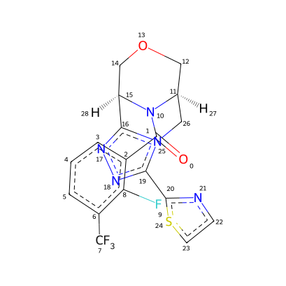 O=C(c1cccc(C(F)(F)F)c1F)N1[C@H]2COC[C@@H]1c1nnc(-c3nccs3)n1C2